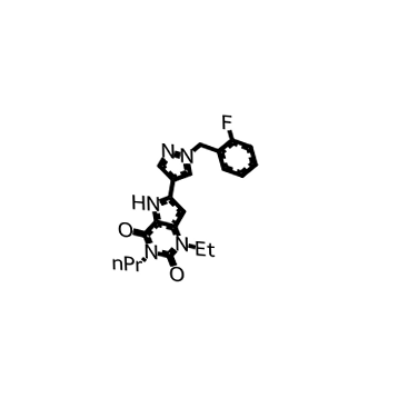 CCCn1c(=O)c2[nH]c(-c3cnn(Cc4ccccc4F)c3)cc2n(CC)c1=O